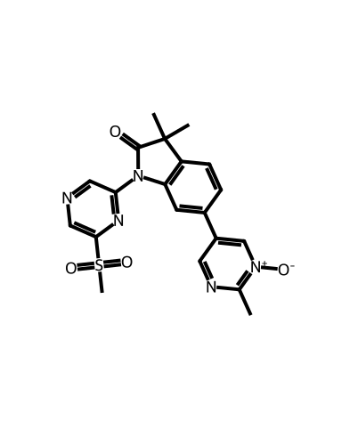 Cc1ncc(-c2ccc3c(c2)N(c2cncc(S(C)(=O)=O)n2)C(=O)C3(C)C)c[n+]1[O-]